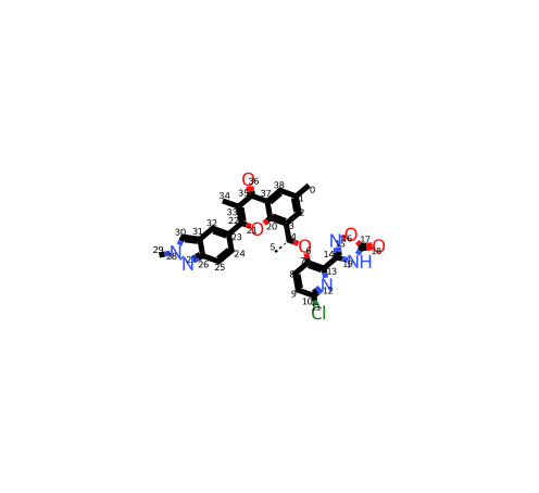 Cc1cc([C@@H](C)Oc2ccc(Cl)nc2-c2noc(=O)[nH]2)c2oc(-c3ccc4nn(C)cc4c3)c(C)c(=O)c2c1